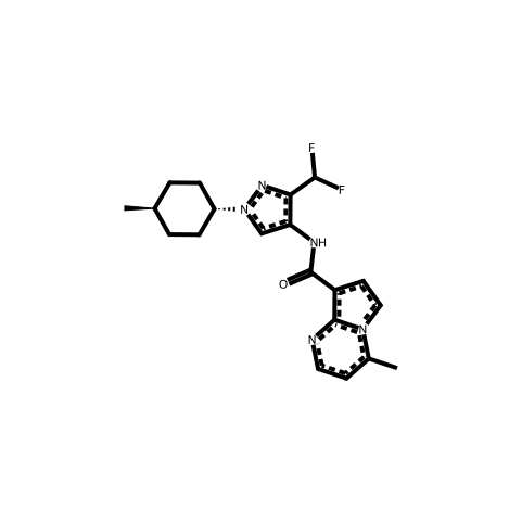 Cc1ccnc2c(C(=O)Nc3cn([C@H]4CC[C@H](C)CC4)nc3C(F)F)ccn12